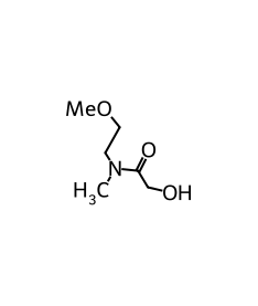 COCCN(C)C(=O)CO